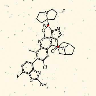 N#Cc1cn(C(=O)N2C3CCC2CN(c2nc(OC[C@@]45CCCN4C[C@H](F)C5)nc4c(F)c(-c5ccc(F)c6sc(N)nc56)c(Cl)cc24)C3)cn1